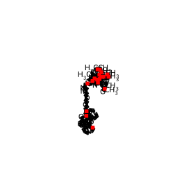 CC(=O)OCC1O[C@H](n2cc(CN(Cc3cn(CCOCCOCCOCCN4C(=O)c5ccccc5C45c4cc6c7c(c4Oc4c5cc5c8c4CCCN8CCC5)CC=CN7CCC6)nn3)Cc3cn([C@H]4OC(COC(C)=O)[C@H](OC(C)=O)[C@@H](OC(C)=O)C4OC(C)=O)nn3)nn2)C(OC(C)=O)[C@@H](OC(C)=O)[C@@H]1OC(C)=O